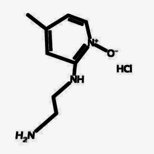 Cc1cc[n+]([O-])c(NCCN)c1.Cl